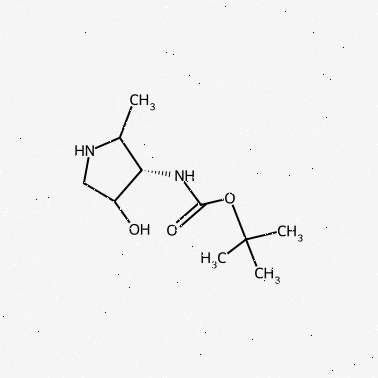 CC1NCC(O)[C@H]1NC(=O)OC(C)(C)C